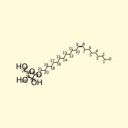 CCCCCCCC/C=C\CCCCCCCCCCCCOC1O[C@H](CO)[C@@H](O)[C@@H]1O